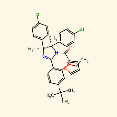 CCOc1cc(C(C)(C)C)ccc1C1=N[C@@](C)(c2ccc(Cl)cc2)[C@@](C)(c2ccc(Cl)cc2)N1C(=O)c1ccco1